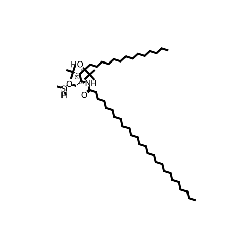 CCCCCCCCCCCCCCCCCCCCCCCCCC(=O)N[C@H](CO[SiH](C)C)[C@H](C(C)(C)C)[C@](O)(CCCCCCCCCCCCCC)C(C)(C)C